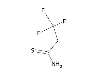 NC(=S)CC(F)(F)F